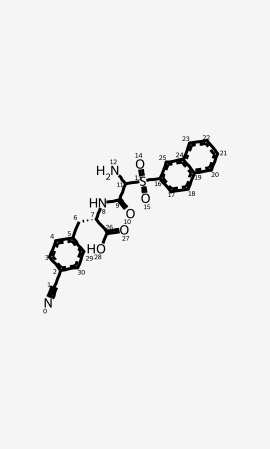 N#Cc1ccc(C[C@H](NC(=O)C(N)S(=O)(=O)c2ccc3ccccc3c2)C(=O)O)cc1